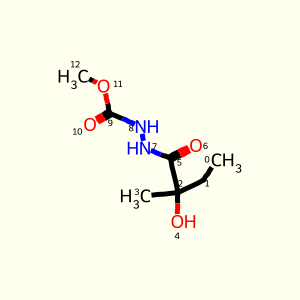 CCC(C)(O)C(=O)NNC(=O)OC